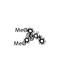 COc1ccc(S(=O)(=O)N(c2cccc(OC)c2)C2CCN(Cc3ccccc3)CC2)cc1